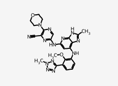 COc1c(Nc2cc(Nc3cnc(N4CCOCC4)c(C#N)n3)nc3[nH]c(C)nc23)cccc1-c1nnn(C)n1